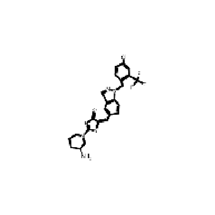 N[C@H]1CCCN(C2=NC(=O)C(=Cc3ccc4c(cnn4Cc4ccc(Cl)cc4C(F)(F)F)c3)S2)C1